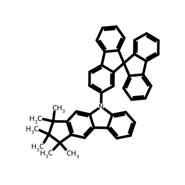 CC1(C)c2cc3c4ccccc4n(-c4ccc5c(c4)C4(c6ccccc6-c6ccccc64)c4ccccc4-5)c3cc2C(C)(C)C1(C)C